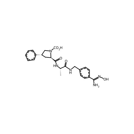 C[C@H](NC(=O)[C@H]1C[C@H](c2ccccc2)CN1C(=O)O)C(=O)NCc1ccc(/C(N)=N/O)cc1